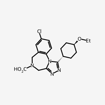 CCO[C@H]1CC[C@H](c2nnc3n2-c2ccc(Cl)cc2CN(C(=O)O)C3)CC1